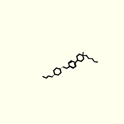 CCCCCC1(C)CCC(c2ccc(CC[C@H]3CC[C@H](CCCC)CC3)cc2)CC1